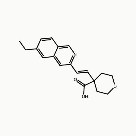 CCc1ccc2cnc(/C=C/C3(C(=O)O)CCOCC3)cc2c1